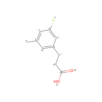 Cc1cc(F)cc(CCC(=O)O)c1